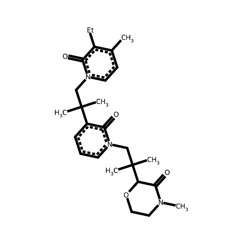 CCc1c(C)ccn(CC(C)(C)c2cccn(CC(C)(C)C3OCCN(C)C3=O)c2=O)c1=O